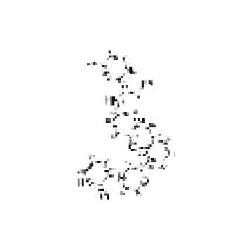 Cc1ccnc(C(CF)Nc2ccc3c(c2)Cc2cccc(C4CN(c5ccc[nH]c5=O)CCO4)c2O3)n1